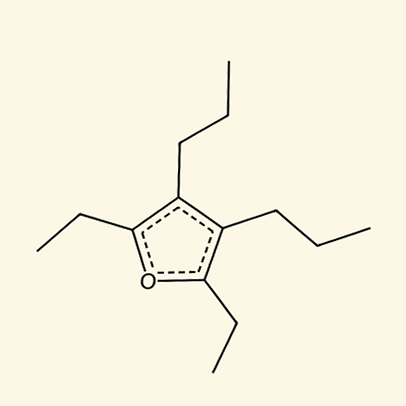 CCCc1c(CC)oc(CC)c1CCC